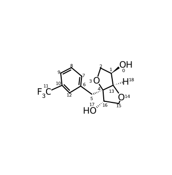 O[C@@H]1CO[C@@]2(Cc3cccc(C(F)(F)F)c3)[C@@H]1OC[C@@H]2O